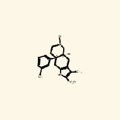 CCOC(=O)c1[nH]c2c(c1C)C[C@@H]1CN(CC)CC[C@@]1(c1cccc(O)c1)C2